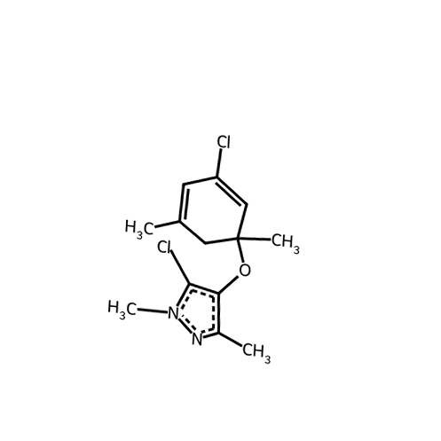 CC1=CC(Cl)=CC(C)(Oc2c(C)nn(C)c2Cl)C1